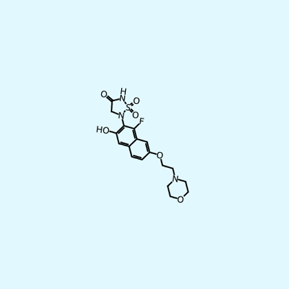 O=C1CN(c2c(O)cc3ccc(OCCN4CCOCC4)cc3c2F)S(=O)(=O)N1